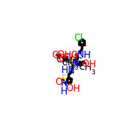 CC(=O)O.CC(=O)O.CC(C)(CO)CN(CCNCCc1ccc(O)c2[nH]c(=O)sc12)CCC(=O)NCCc1ccc(Cl)cc1